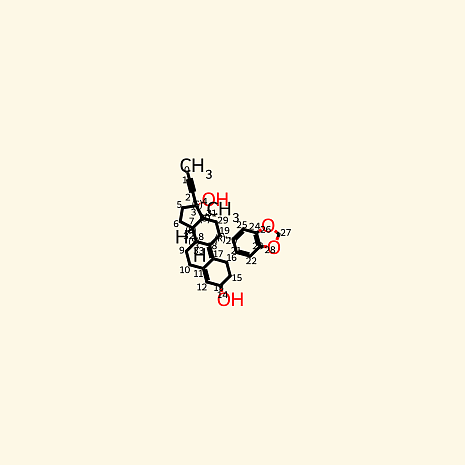 CC#C[C@]1(O)CC[C@H]2[C@@H]3CCC4=CC(O)CCC4=C3[C@@H](c3ccc4c(c3)OCO4)C[C@@]21C